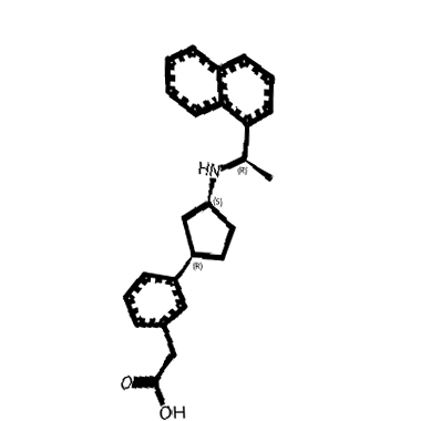 C[C@@H](N[C@H]1CC[C@@H](c2cccc(CC(=O)O)c2)C1)c1cccc2ccccc12